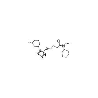 CCN(C(=O)CCCSc1nnnn1C1CCCC(F)C1)C1CCCCC1